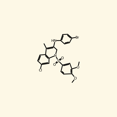 COc1ccc(S(=O)(=O)N2CC(Nc3ccc(Br)cc3)=C(C)c3ccc(Cl)cc32)cc1OC